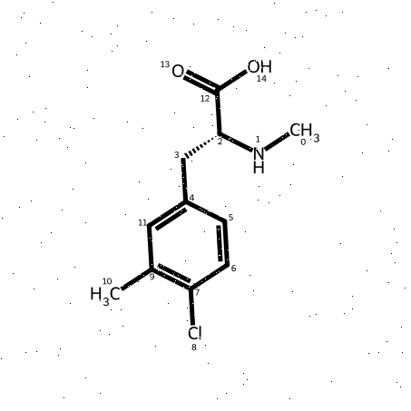 CN[C@H](Cc1ccc(Cl)c(C)c1)C(=O)O